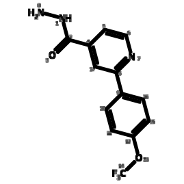 NNC(=O)c1ccnc(-c2ccc(OC(F)(F)F)cc2)c1